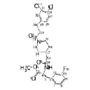 COC(=O)[C@H](Cc1cccc(F)c1)NC(=O)CC1CCN(C(=O)CCc2ccc(Cl)c(Cl)c2)CC1